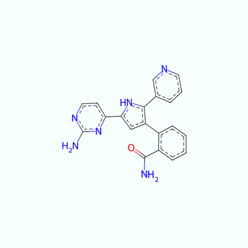 NC(=O)c1ccccc1-c1cc(-c2ccnc(N)n2)[nH]c1-c1cccnc1